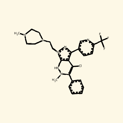 CN1CCN(CCn2nc(-c3ccc(C(F)(F)F)nc3)c3c2NN(C)C(c2ccccc2)=C3Cl)CC1